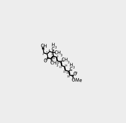 C#CCC1CC(C)(C)C(/C=C/C(C)=C/C=C/C(C)=C/C(=O)OC)=C(C)C1=O